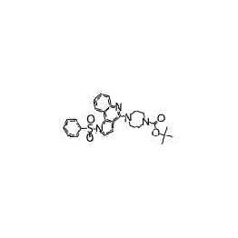 CC(C)(C)OC(=O)N1CCN(c2nc3ccccc3c3c2ccn3S(=O)(=O)c2ccccc2)CC1